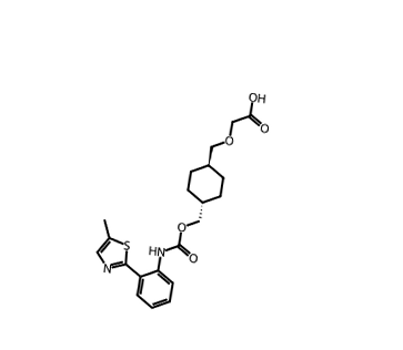 Cc1cnc(-c2ccccc2NC(=O)OC[C@H]2CC[C@H](COCC(=O)O)CC2)s1